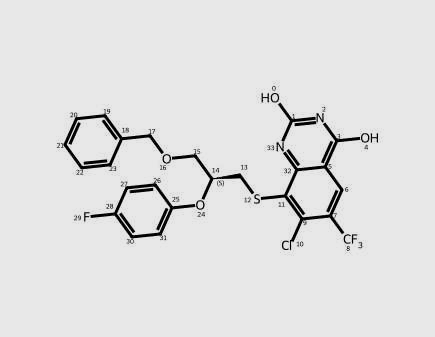 Oc1nc(O)c2cc(C(F)(F)F)c(Cl)c(SC[C@H](COCc3ccccc3)Oc3ccc(F)cc3)c2n1